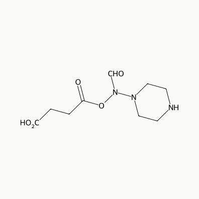 O=CN(OC(=O)CCC(=O)O)N1CCNCC1